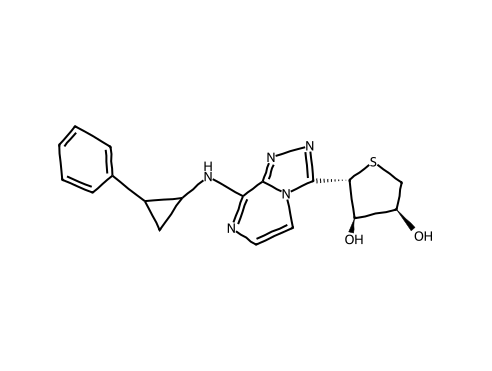 O[C@@H]1[C@H](O)CS[C@H]1c1nnc2c(NC3CC3c3ccccc3)nccn12